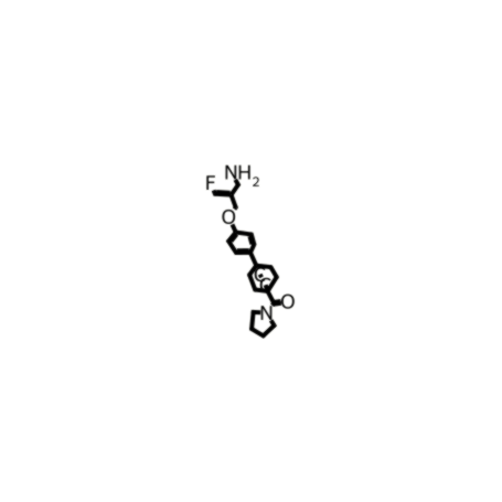 NCC(=CF)COc1ccc(C23CCC(C(=O)N4CCCC4)(CC2)CC3)cc1